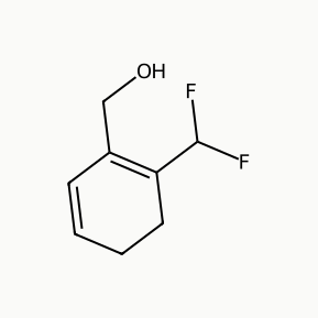 OCC1=C(C(F)F)CCC=C1